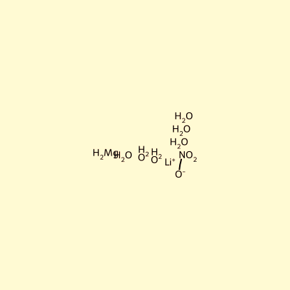 O.O.O.O.O.O.O=[N+]([O-])[O-].[Li+].[MgH2]